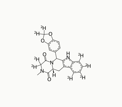 [2H]c1c([2H])c([2H])c2c3c([nH]c2c1[2H])C(c1ccc2c(c1)OC([2H])([2H])O2)N1C(=O)C([2H])([2H])N(C)C(=O)[C@H]1C3